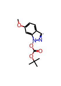 COc1ccc2[c]nn(OC(=O)OC(C)(C)C)c2c1